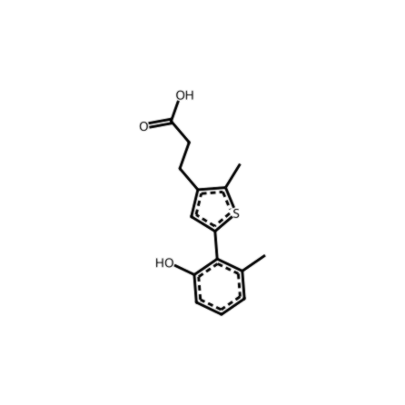 Cc1cccc(O)c1-c1cc(CCC(=O)O)c(C)s1